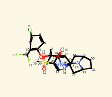 CC(C)(Oc1ccc(Cl)cc1C(F)F)C(=O)NC1CC2CCC(C1)N2c1ccc(S(C)(=O)=O)cn1